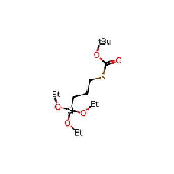 CCO[Si](CCCSC(=O)OC(C)(C)C)(OCC)OCC